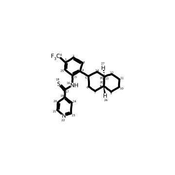 FC(F)(F)c1ccc(C2CC[C@H]3CCCC[C@@H]3C2)c(NC(=S)c2ccncc2)c1